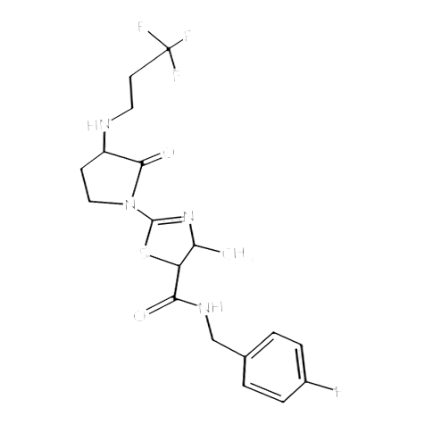 CC1N=C(N2CCC(NCCC(F)(F)F)C2=O)SC1C(=O)NCc1ccc(F)cc1